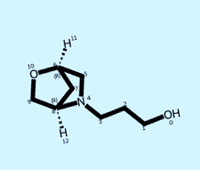 OCCCN1C[C@H]2C[C@@H]1CO2